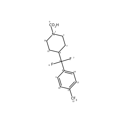 O=C(O)N1CCC(C(F)(F)c2ccc(C(F)(F)F)cc2)CC1